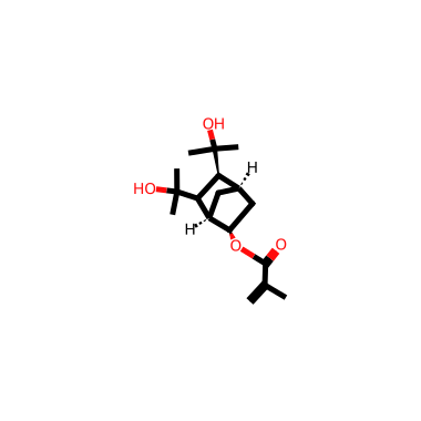 C=C(C)C(=O)O[C@@H]1C[C@H]2C[C@@H]1C(C(C)(C)O)[C@H]2C(C)(C)O